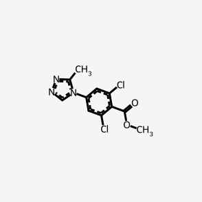 COC(=O)c1c(Cl)cc(-n2cnnc2C)cc1Cl